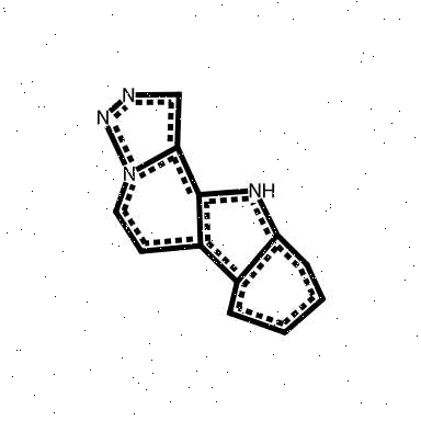 c1ccc2c(c1)[nH]c1c2ccn2nncc12